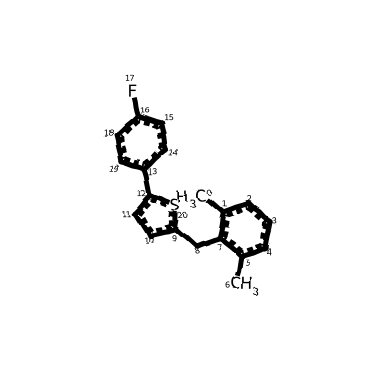 Cc1cccc(C)c1Cc1ccc(-c2ccc(F)cc2)s1